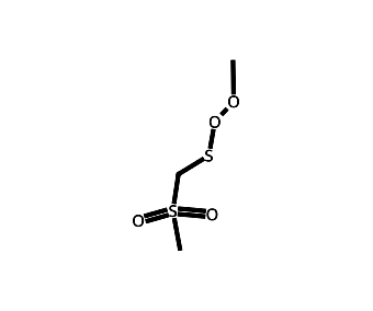 COOSCS(C)(=O)=O